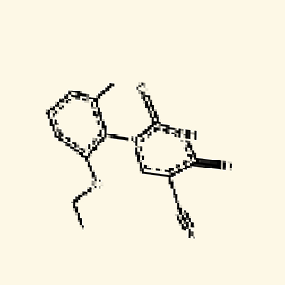 CCOc1cccc(C)c1-n1cc(C#N)c(=O)[nH]c1=O